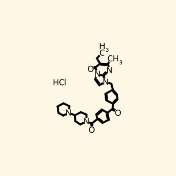 CCc1c(C)nc2n(Cc3ccc(C(=O)c4ccc(C(=O)N5CCC(N6CCCCC6)CC5)cc4)cc3)ccn2c1=O.Cl